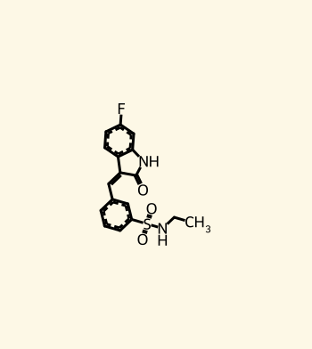 CCNS(=O)(=O)c1cccc(C=C2C(=O)Nc3cc(F)ccc32)c1